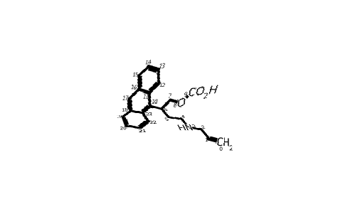 C=CCNCCC(COC(=O)O)c1c2ccccc2cc2ccccc12